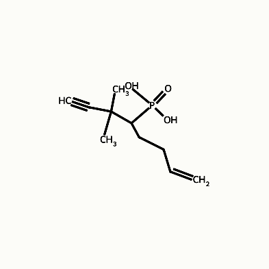 C#CC(C)(C)C(CCC=C)P(=O)(O)O